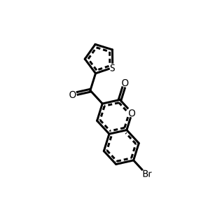 O=C(c1cccs1)c1cc2ccc(Br)cc2oc1=O